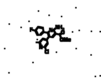 COC(=O)c1cc(-c2cc(C)nc(Cl)c2)c(-c2ccc(F)cc2)nc1N